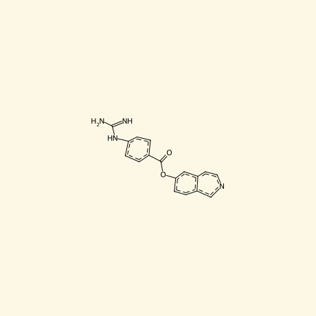 N=C(N)Nc1ccc(C(=O)Oc2ccc3cnccc3c2)cc1